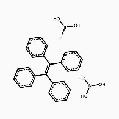 OB(O)F.OB(O)O.c1ccc(C(=C(c2ccccc2)c2ccccc2)c2ccccc2)cc1